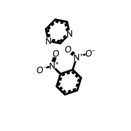 O=[N+]([O-])c1ccccc1[N+](=O)[O-].c1cncnc1